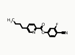 CCCCc1ccc(C(=O)Oc2ccc(C#N)c(F)c2)nc1